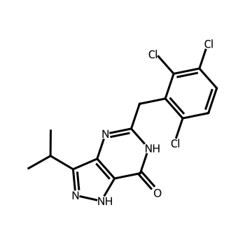 CC(C)c1n[nH]c2c(=O)[nH]c(Cc3c(Cl)ccc(Cl)c3Cl)nc12